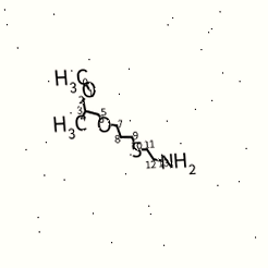 COCC(C)COCCCSCCN